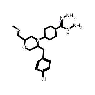 CSCC1CN(C2CCC(/C(=N/N)NN)CC2)C(Cc2ccc(Cl)cc2)CO1